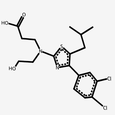 CC(C)Cc1sc(N(CCO)CCC(=O)O)nc1-c1ccc(Cl)c(Cl)c1